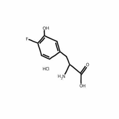 Cl.NC(Cc1ccc(F)c(O)c1)C(=O)O